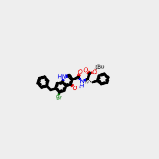 CC(C)(C)OC(=O)[C@H](Cc1ccccc1)NC(=O)c1c[nH]c2cc(Cc3ccccc3)c(Br)cc2c1=O